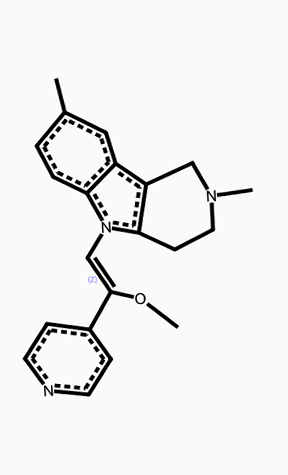 CO/C(=C\n1c2c(c3cc(C)ccc31)CN(C)CC2)c1ccncc1